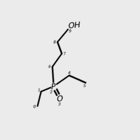 CCP(=O)(CC)CCCO